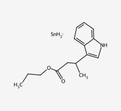 CCCOC(=O)CC(C)c1c[nH]c2ccccc12.[SnH2]